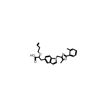 C=CCCOC(Cc1ccc2c(ccn2Cc2nc(-c3ccccc3C)oc2C)c1)C(=O)O